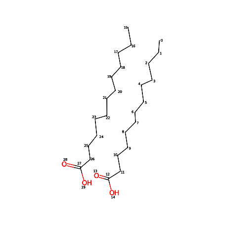 CCCCCCCCCCCCC(=O)O.CCCCCCCCCCCCC(=O)O